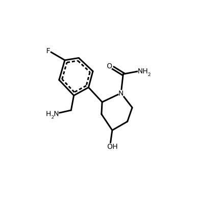 NCc1cc(F)ccc1C1CC(O)CCN1C(N)=O